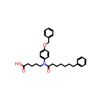 O=C(O)CCCCN(C(=O)CCCCCCc1ccccc1)c1ccc(OCc2ccccc2)cc1